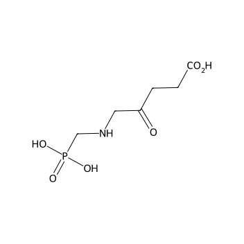 O=C(O)CCC(=O)CNCP(=O)(O)O